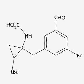 CC(C)(C)C1CC1(Cc1cc(Br)cc(C=O)c1)NC(=O)O